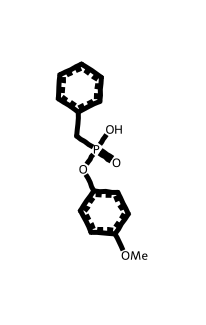 COc1ccc(OP(=O)(O)Cc2ccccc2)cc1